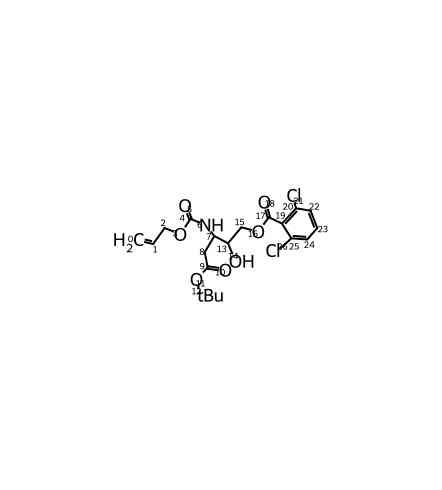 C=CCOC(=O)NC(CC(=O)OC(C)(C)C)C(O)COC(=O)c1c(Cl)cccc1Cl